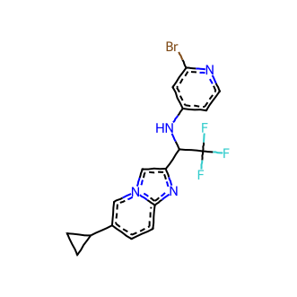 FC(F)(F)C(Nc1ccnc(Br)c1)c1cn2cc(C3CC3)ccc2n1